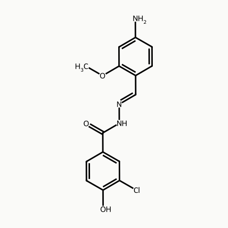 COc1cc(N)ccc1C=NNC(=O)c1ccc(O)c(Cl)c1